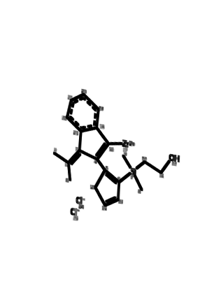 CC(C)=C1C(C2=C([Si](C)(C)CCO)C=CC2)=[C]([Zr+2])c2ccccc21.[Cl-].[Cl-]